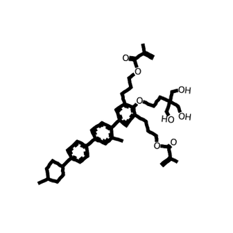 C=C(C)C(=O)OCCCc1cc(-c2ccc(-c3ccc(C4CCC(C)CC4)cc3)cc2C)cc(CCCOC(=O)C(=C)C)c1OCCC(CO)(CO)CO